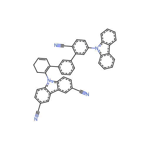 N#Cc1ccc2c(c1)c1cc(C#N)ccc1n2C1=C(c2cccc(-c3cc(-n4c5ccccc5c5ccccc54)ccc3C#N)c2)C=CCC1